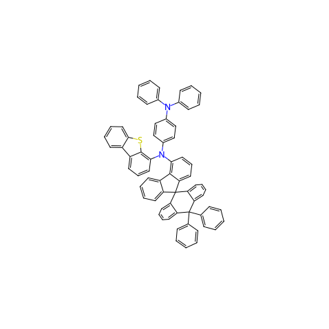 c1ccc(N(c2ccccc2)c2ccc(N(c3cccc4c3-c3ccccc3C43c4ccccc4C(c4ccccc4)(c4ccccc4)c4ccccc43)c3cccc4c3sc3ccccc34)cc2)cc1